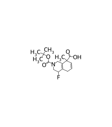 CC(C)(C)OC(=O)N1CC2=C(CC=CC2(C)C(=O)O)C(F)C1